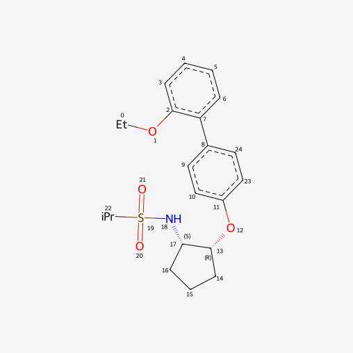 CCOc1ccccc1-c1ccc(O[C@@H]2CCC[C@@H]2NS(=O)(=O)C(C)C)cc1